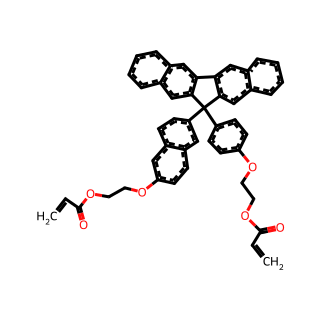 C=CC(=O)OCCOc1ccc(C2(c3ccc4cc(OCCOC(=O)C=C)ccc4c3)c3cc4ccccc4cc3-c3cc4ccccc4cc32)cc1